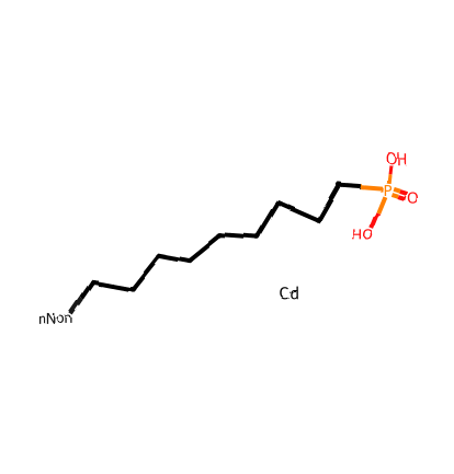 CCCCCCCCCCCCCCCCCCP(=O)(O)O.[Cd]